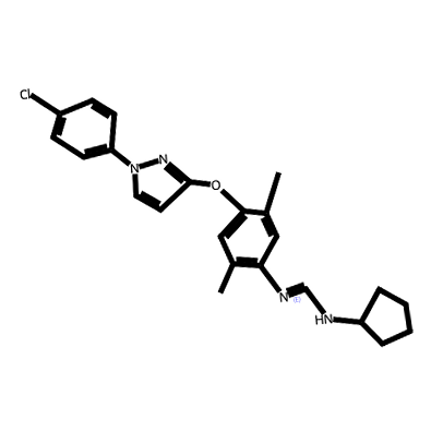 Cc1cc(Oc2ccn(-c3ccc(Cl)cc3)n2)c(C)cc1/N=C/NC1CCCC1